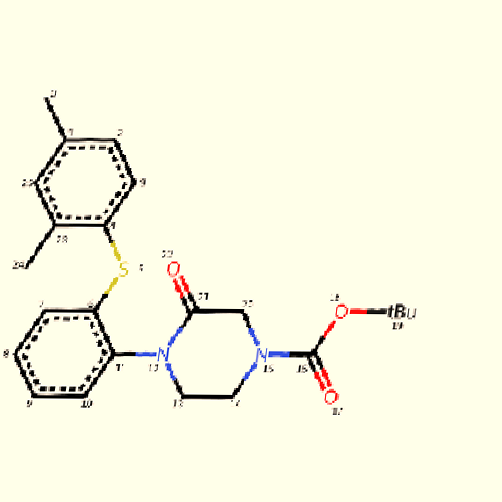 Cc1ccc(Sc2ccccc2N2CCN(C(=O)OC(C)(C)C)CC2=O)c(C)c1